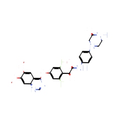 COc1cc2ncnc(Oc3cc(F)c(C(=O)C(=O)Nc4ccc(N5CCNC(=O)C5)cc4)c(F)c3)c2cc1OC